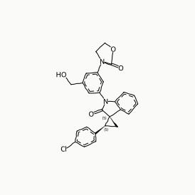 O=C1OCCN1c1cc(CO)cc(N2C(=O)[C@]3(C[C@H]3c3ccc(Cl)cc3)c3ccccc32)c1